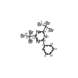 BrC(Br)(Br)c1nc(-c2ccccc2)nc(C(Br)(Br)Br)n1